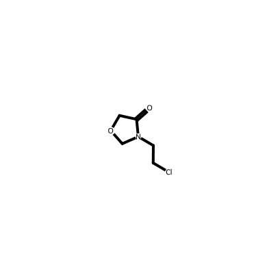 O=C1COCN1CCCl